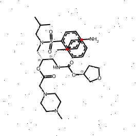 CC(C)CN(C[C@@H](OC(=O)CN1CCN(C)CC1)[C@H](Cc1ccccc1)NC(=O)O[C@H]1CCOC1)S(=O)(=O)c1ccc(N)cc1